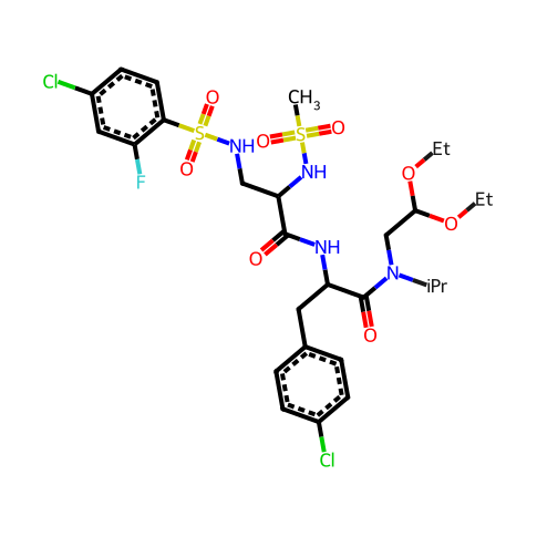 CCOC(CN(C(=O)C(Cc1ccc(Cl)cc1)NC(=O)C(CNS(=O)(=O)c1ccc(Cl)cc1F)NS(C)(=O)=O)C(C)C)OCC